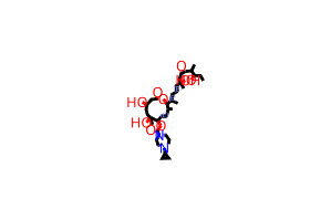 CCC(O)C(C)C1OC1CC(C)(O)/C=C/C=C(\C)C1OC(=O)CC(O)CCC(C)(O)C(OC(=O)N2CCCN(C3CC3)CC2)/C=C/C1C